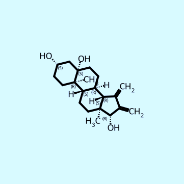 C=C1C(=C)[C@H]2[C@@H]3CC[C@]4(O)C[C@@H](O)CC[C@]4(C)[C@H]3CC[C@]2(C)[C@H]1O